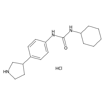 Cl.O=C(Nc1ccc(C2CCNC2)cc1)NC1CCCCC1